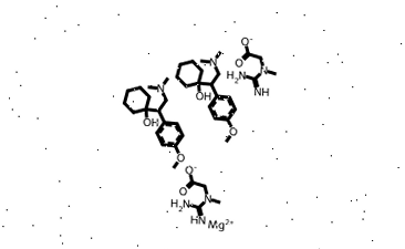 CN(CC(=O)[O-])C(=N)N.CN(CC(=O)[O-])C(=N)N.COc1ccc(C(CN(C)C)C2(O)CCCCC2)cc1.COc1ccc(C(CN(C)C)C2(O)CCCCC2)cc1.[Mg+2]